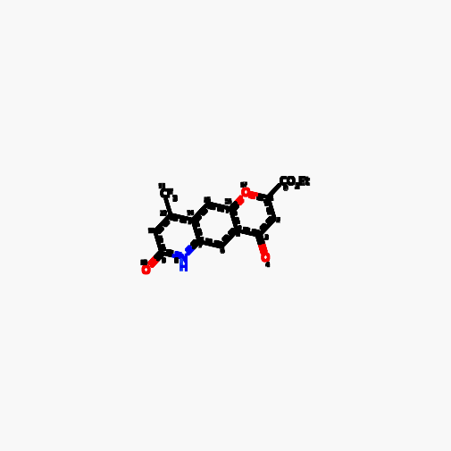 CCOC(=O)c1cc(=O)c2cc3[nH]c(=O)cc(C(F)(F)F)c3cc2o1